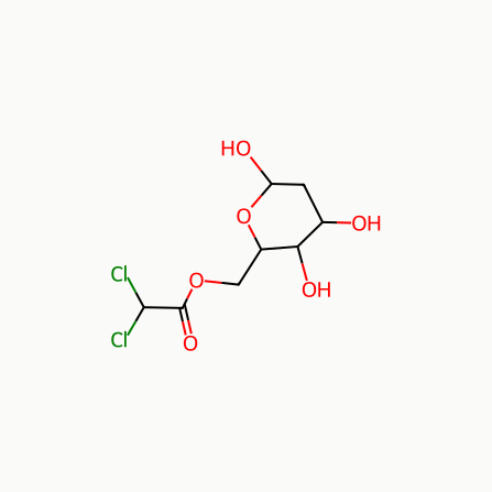 O=C(OCC1OC(O)CC(O)C1O)C(Cl)Cl